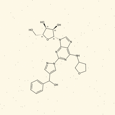 OC[C@H]1O[C@@H](n2cnc3c(NC4CCOC4)nc(-n4cc(C(O)c5ccccc5)cn4)nc32)[C@H](O)[C@@H]1O